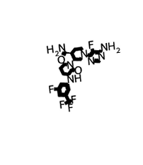 NC(=O)[C@H]1CCN(c2ncnc(N)c2F)C[C@@H]1N1CCCC(Nc2cc(F)cc(C(F)(F)F)c2)C1=O